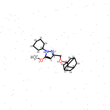 COc1cc(COC23CC4CC(CC(C4)C2)C3)nn1C1CCCCC1